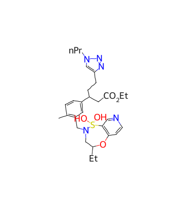 CCCn1cc(CCC(CC(=O)OCC)c2ccc(C)c(CN3CC(CC)Oc4ccncc4S3(O)O)c2)nn1